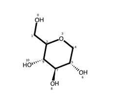 OCC1O[CH][C@H](O)[C@@H](O)[C@@H]1O